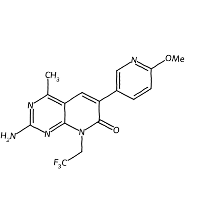 COc1ccc(-c2cc3c(C)nc(N)nc3n(CC(F)(F)F)c2=O)cn1